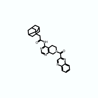 O=C(CC12CC3CC(CC(C3)C1)C2)Nc1ncnc2c1CCN(C(=O)c1cnc3ccccc3n1)C2